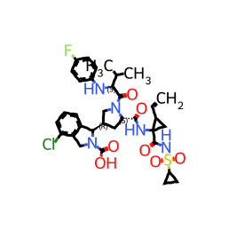 C=CC1CC1(NC(=O)[C@@H]1C[C@@H](C2c3cccc(Cl)c3CN2C(=O)O)CN1C(=O)[C@@H](Nc1ccc(F)cc1)C(C)C)C(=O)NS(=O)(=O)C1CC1